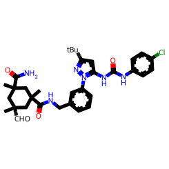 CC1(C=O)CC(C)(C(N)=O)CC(C)(C(=O)NCc2cccc(-n3nc(C(C)(C)C)cc3NC(=O)Nc3ccc(Cl)cc3)c2)C1